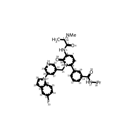 CN[C@@H](C)C(=O)Nc1ccc(-c2cccc(C(=O)NC(C)C)c2)n(Cc2cncc(-n3ccc4cc(F)ccc43)c2)c1=O